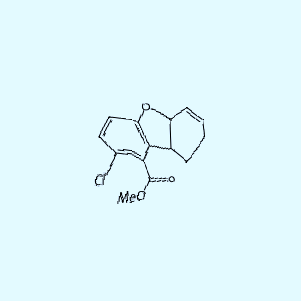 COC(=O)c1c(Cl)ccc2c1C1CCC=CC1O2